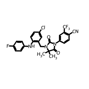 CC1(C)C(=O)N(c2ccc(C#N)c(C(F)(F)F)c2)C(=O)N1Cc1cc(Cl)ccc1Nc1ccc(F)cc1